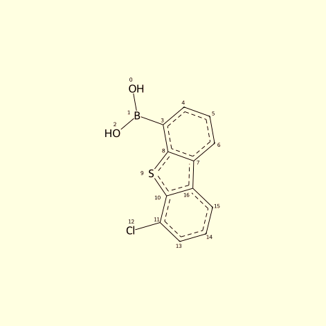 OB(O)c1cccc2c1sc1c(Cl)cccc12